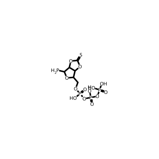 O=P(O)(O)OP(=O)(O)OP(=O)(O)OCC1OC(P)C2OC(=S)OC12